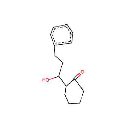 O=C1CCCCC1C(O)CCc1ccccc1